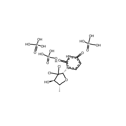 C[C@H]1O[C@@H](n2ccc(=O)[nH]c2=O)C(Cl)(Cl)[C@@H]1O.O=P(O)(O)O.O=P(O)(O)O.O=P(O)(O)O